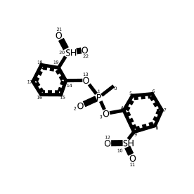 CP(=O)(Oc1ccccc1[SH](=O)=O)Oc1ccccc1[SH](=O)=O